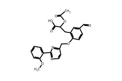 COc1ccccc1-c1nccc(COc2ccc(C=O)cc2CC(OC(C)=O)C(=O)O)n1